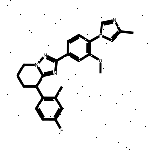 COc1cc(-c2nc3n(n2)CCCC3c2ccc(F)cc2C)ccc1-n1cnc(C)c1